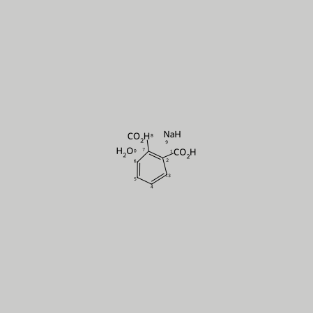 O.O=C(O)c1[c]cccc1C(=O)O.[NaH]